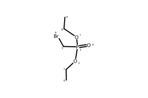 CCOP(=O)(CBr)OCC